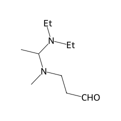 CCN(CC)C(C)N(C)CCC=O